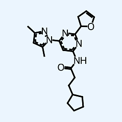 Cc1cc(C)n(-c2cc(NC(=O)CCC3CCCC3)nc(C3CC=CO3)n2)n1